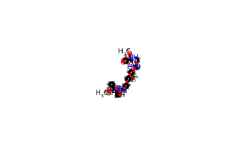 COC(=O)N[C@H](C(=O)N1CCC[C@H]1c1ncc(-c2ccc3c(c2)C(F)(F)c2cc(-c4ccc5nc([C@@H]6[C@H]7CC[C@H](C7)N6C(=O)[C@H](NC(=O)OC)c6ccccc6)[nH]c5c4)ccc2-3)[nH]1)C1CCOCC1